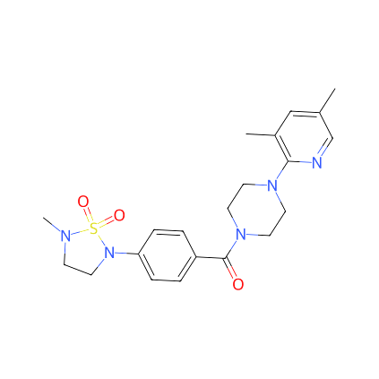 Cc1cnc(N2CCN(C(=O)c3ccc(N4CCN(C)S4(=O)=O)cc3)CC2)c(C)c1